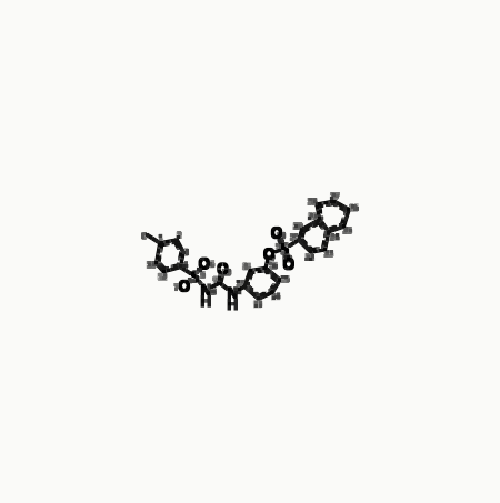 Cc1ccc(S(=O)(=O)NC(=O)Nc2cccc(OS(=O)(=O)c3ccc4ccccc4c3)c2)cc1